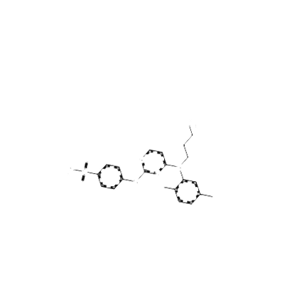 Cc1ccc(F)c(N(CCCC(F)(F)F)c2ccnc(Nc3ccc(S(N)(=O)=O)cc3)n2)c1